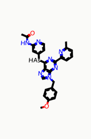 COc1ccc(Cn2cnc3c([AsH]c4ccnc(NC(C)=O)c4)nc(-c4cccc(C)n4)nc32)cc1